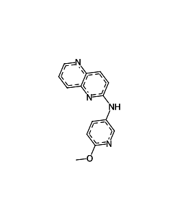 COc1ccc(Nc2ccc3ncccc3n2)cn1